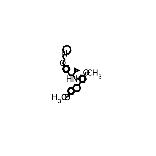 COc1ccc2c(c1)CCC(c1ccc(OC)cc1NC(Cc1ccc(OCCN3CCCCCC3)cc1)C1CC1)C2